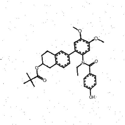 CCN(C(=O)c1ccc(O)cc1)c1cc(OC)c(OC)cc1-c1ccc2c(c1)CCC(OC(=O)C(C)(C)C)C2